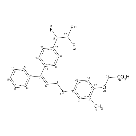 Cc1cc(SCC=C(c2ccccc2)c2ccc(C(F)C(F)F)cc2)ccc1OCC(=O)O